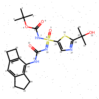 CC(C)(C)OC(=O)NS(=O)(=NC(=O)Nc1c2c(cc3c1CC3)CCC2)c1cnc(C(C)(C)O)s1